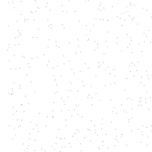 C=CCC[C@H](NC(=O)OCC1c2ccccc2-c2ccccc21)C(=O)O